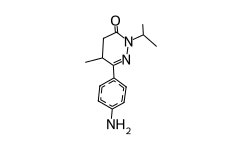 CC1CC(=O)N(C(C)C)N=C1c1ccc(N)cc1